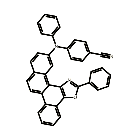 N#Cc1ccc(N(c2ccccc2)c2ccc3ccc4c5ccccc5c5oc(-c6ccccc6)nc5c4c3c2)cc1